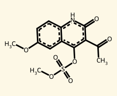 COc1ccc2[nH]c(=O)c(C(C)=O)c(OS(=O)(=O)OC)c2c1